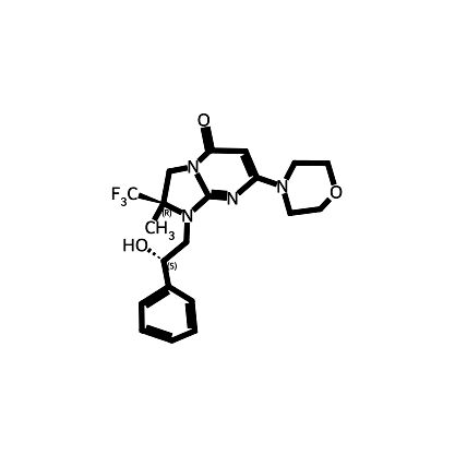 C[C@]1(C(F)(F)F)Cn2c(nc(N3CCOCC3)cc2=O)N1C[C@@H](O)c1ccccc1